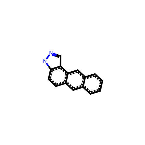 C1=N[N]c2ccc3cc4ccccc4cc3c21